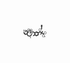 C#CCO[C@H](c1ccc(C)c(CN2C[C@@H](C)Cc3ccncc3S2(=O)=O)c1)C(C)(C)C(=O)OC